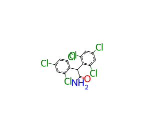 NC(=O)C(c1c(Cl)cc(Cl)cc1Cl)c1c(Cl)cc(Cl)cc1Cl